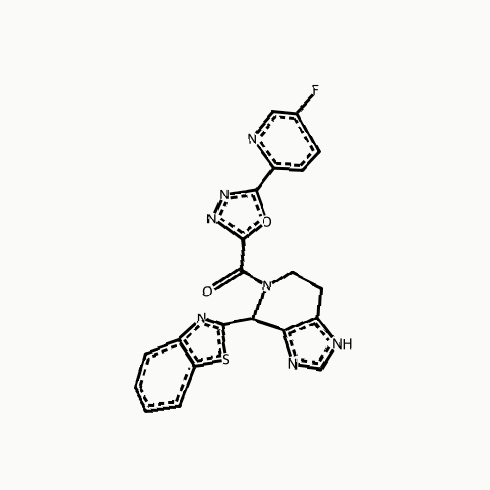 O=C(c1nnc(-c2ccc(F)cn2)o1)N1CCc2[nH]cnc2C1c1nc2ccccc2s1